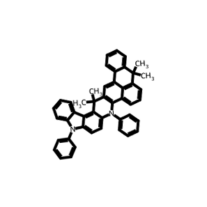 CC1(C)c2ccccc2-c2cc3c(c4cccc1c24)N(c1ccccc1)c1ccc2c(c1C3(C)C)c1ccccc1n2-c1ccccc1